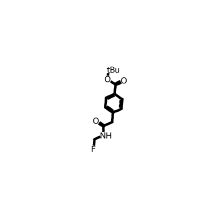 CC(C)(C)OC(=O)c1ccc(CC(=O)NCF)cc1